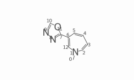 CN1C=CC=CC(c2nnco2)=C1